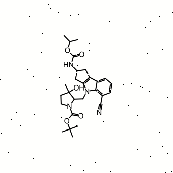 CC(C)OC(=O)NC1Cc2c(n(CC3N(C(=O)OC(C)(C)C)CCC3(C)O)c3c(C#N)cccc23)C1